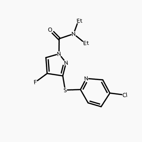 CCN(CC)C(=O)n1cc(F)c(Sc2ccc(Cl)cn2)n1